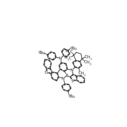 Cc1cc2c(cc1N1c3cc(N(c4ccc(C(C)(C)C)cc4)c4ccc(C(C)(C)C)cc4)cc4c3B(c3sc5ccccc5c31)N(c1ccc(C(C)(C)C)cc1)c1ccc3oc5ccccc5c3c1-4)C(C)(C)CCC2(C)C